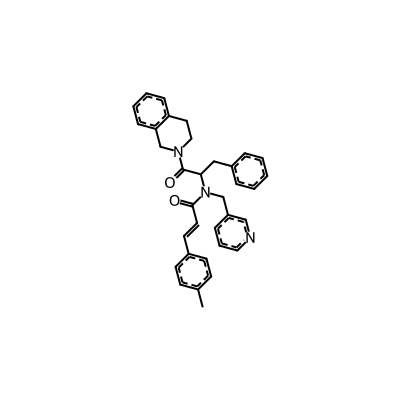 Cc1ccc(C=CC(=O)N(Cc2cccnc2)C(Cc2ccccc2)C(=O)N2CCc3ccccc3C2)cc1